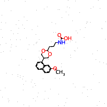 COc1ccc2cccc(C3COC(CCCNC(=O)O)OC3)c2c1